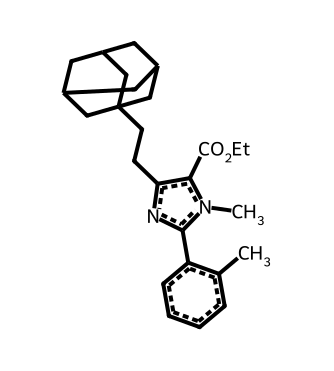 CCOC(=O)c1c(CCC23CC4CC(CC(C4)C2)C3)nc(-c2ccccc2C)n1C